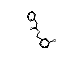 O=C(Cc1ccccn1)OCc1cccc(Cl)c1